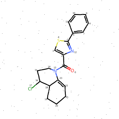 O=C(c1csc(-c2ccccc2)n1)N1CCC(Cl)C2CCCC=C21